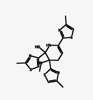 CNC1(c2nc(C)cs2)CC=C(c2nc(C)cs2)NC1(O)c1csc(C)n1